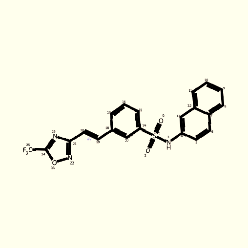 O=S(=O)(Nc1ccc2ccccc2c1)c1cccc(/C=C/c2noc(C(F)(F)F)n2)c1